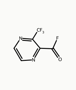 O=C(F)c1nccnc1C(F)(F)F